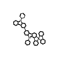 C1=CCC(n2c3ccccc3c3cc(-c4ccc5c(c4)c4ccc6c(c4n5-c4ccccc4)-c4ccccc4C64c5ccccc5-c5ccccc54)ccc32)C=C1